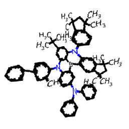 Cc1cc(-c2ccccc2)ccc1N1c2ccc(N(c3ccccc3)c3ccccc3)cc2B2c3cc4c(cc3N(c3ccc5c(c3)C(C)(C)CC5(C)C)c3cc(C(C)(C)C)cc1c32)C(C)(C)CC4(C)C